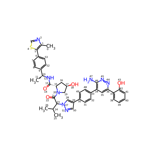 Cc1ncsc1-c1ccc([C@H](C)NC(=O)[C@@H]2C[C@@H](O)CN2C(=O)C(C(C)C)n2cc(-c3ccc(-c4cc(-c5ccccc5O)nnc4N)cc3)cn2)cc1